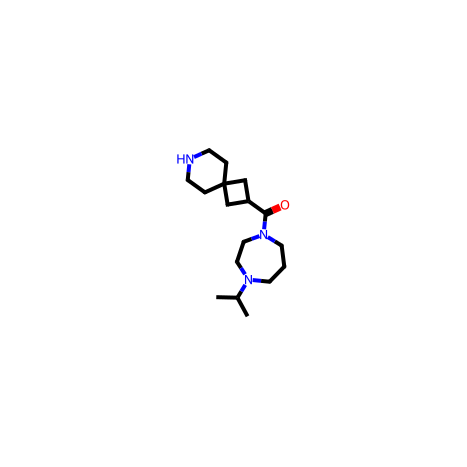 CC(C)N1CCCN(C(=O)C2CC3(CCNCC3)C2)CC1